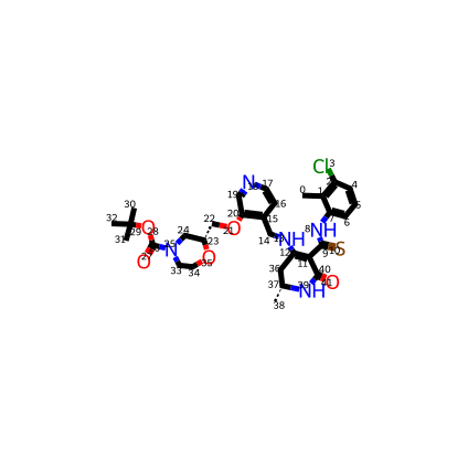 Cc1c(Cl)cccc1NC(=S)C1=C(NCc2ccncc2OC[C@H]2CN(C(=O)OC(C)(C)C)CCO2)C[C@@H](C)NC1=O